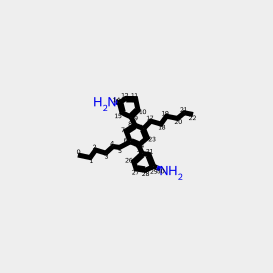 CCCCCCc1cc(-c2cccc(N)c2)c(CCCCCC)cc1-c1cccc(N)c1